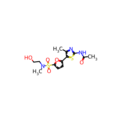 CC(=O)Nc1nc(C)c(-c2ccc(S(=O)(=O)N(C)CCO)o2)s1